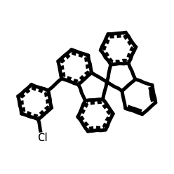 Clc1cccc(-c2cccc3c2-c2ccccc2C32c3ccccc3C3C=CC=CC32)c1